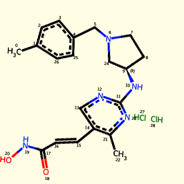 Cc1ccc(CN2CC[C@@H](Nc3ncc(C=CC(=O)NO)c(C)n3)C2)cc1.Cl.Cl